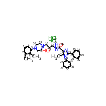 Cc1cccc(N2CCN(CC(O)CNC(=O)c3nc(-c4ccccc4)n(-c4ccccc4)c3C)CC2)c1C.Cl.Cl